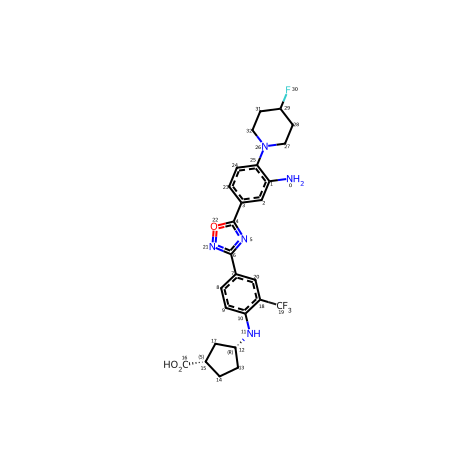 Nc1cc(-c2nc(-c3ccc(N[C@@H]4CC[C@H](C(=O)O)C4)c(C(F)(F)F)c3)no2)ccc1N1CCC(F)CC1